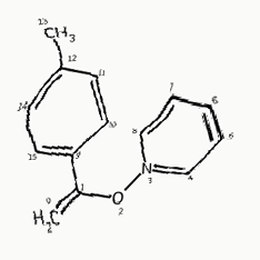 C=C(O[n+]1ccccc1)c1ccc(C)cc1